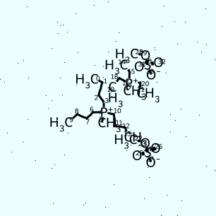 CCCC[P+](C)(CCCC)CCCC.CC[P+](C)(CC)CC.COS(=O)(=O)[O-].COS(=O)(=O)[O-]